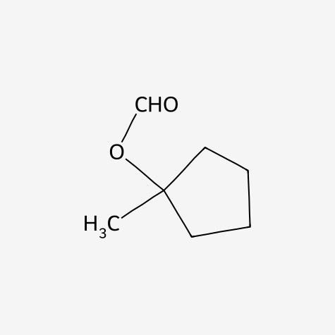 CC1(OC=O)CCCC1